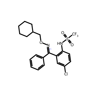 O=S(=O)(Nc1ccc(Cl)cc1/C(=N/OCC1CCCCC1)c1ccccc1)C(F)(F)F